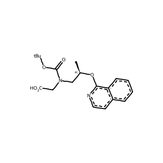 C[C@H](CN(CC(=O)O)C(=O)OC(C)(C)C)Oc1nccc2ccccc12